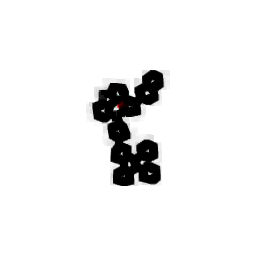 c1ccc(-c2c(-c3ccccc3)c3cc(-c4ccc(N(c5ccc(-c6ccc7ccccc7c6)cc5)c5cccc6sc7ccccc7c56)cc4)ccc3c3ccccc23)cc1